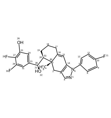 C[C@]12Cc3cnn(-c4ccc(F)cc4)c3C=C1CCC[C@@H]2[C@@H](O)c1cc(O)c(F)c(F)c1